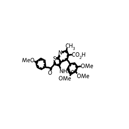 COc1ccc(C(=O)c2sc3nc(C)c(C(=O)O)c(-c4cc(OC)c(OC)c(OC)c4)c3c2NC(C)=O)cc1